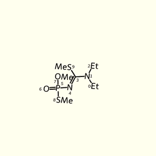 CCN(CC)C(=NP(=O)(OC)SC)SC